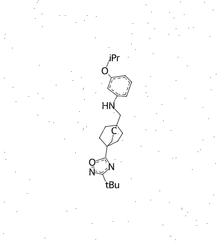 CC(C)Oc1cccc(NCC23CCC(c4nc(C(C)(C)C)no4)(CC2)CC3)c1